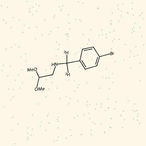 [2H]C([2H])(NCC(OC)OC)c1ccc(Br)cc1